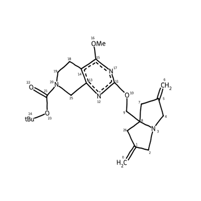 C=C1CN2CC(=C)CC2(COc2nc3c(c(OC)n2)CCN(C(=O)OC(C)(C)C)C3)C1